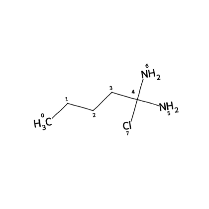 CCCCC(N)(N)Cl